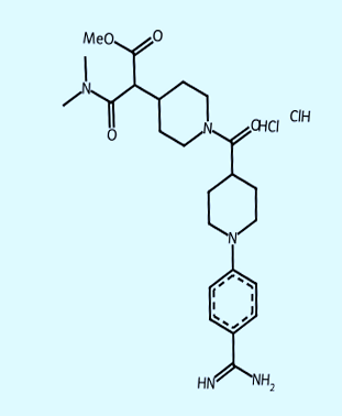 COC(=O)C(C(=O)N(C)C)C1CCN(C(=O)C2CCN(c3ccc(C(=N)N)cc3)CC2)CC1.Cl.Cl